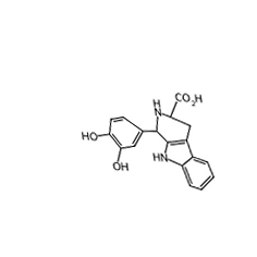 O=C(O)C1Cc2c([nH]c3ccccc23)C(c2ccc(O)c(O)c2)N1